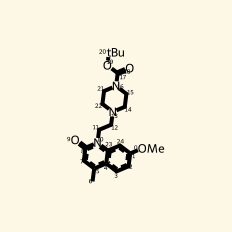 COc1ccc2c(C)cc(=O)n(CCN3CCN(C(=O)OC(C)(C)C)CC3)c2c1